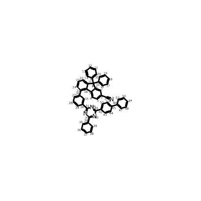 N#Cc1ccc2c(c1)C(c1ccccc1)(c1ccccc1)c1cccc(-c3cccc(-c4nc(-c5ccccc5)nc(-c5ccc(-c6ccccc6)cc5)n4)c3)c1-2